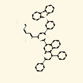 C=C/C=C\C=C(/C)c1cc(-c2cccc(-n3c4ccccc4c4ccccc43)c2)nc(-c2cc3nc(-c4ccccc4)cc(-c4ccccc4)c3c3ccccc23)n1